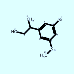 [CH2]C(CO)c1cc(Br)cc(SC)c1